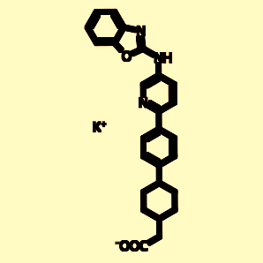 O=C([O-])CC1CCC(c2ccc(-c3ccc(Nc4nc5ccccc5o4)cn3)cc2)CC1.[K+]